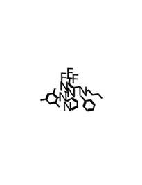 CCCCN(Cc1ccccc1)Cc1c(C(F)(F)F)nc2n(-c3c(C)cc(C)cc3C)c3ncccc3n12